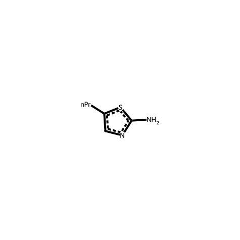 CCCc1cnc(N)s1